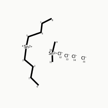 CCC[CH2][Sn+2][CH2]CCC.[CH3][Sn+2][CH3].[Cl-].[Cl-].[Cl-].[Cl-]